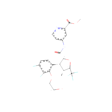 COC(=O)c1cc(NC(=O)[C@@H]2O[C@@](C)(C(F)(F)F)[C@@H](C)[C@H]2c2ccc(F)c(F)c2OC[C@@H](C)O)ccn1